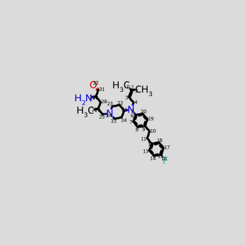 CC(C)=CCN(c1ccc(CCc2ccc(F)cc2)cc1)C1CCN(CC(C)CC(N)C=O)CC1